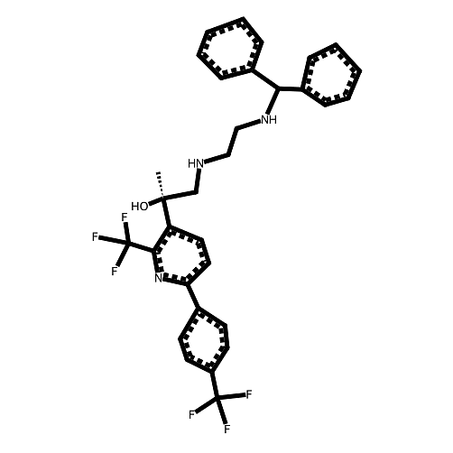 C[C@](O)(CNCCNC(c1ccccc1)c1ccccc1)c1ccc(-c2ccc(C(F)(F)F)cc2)nc1C(F)(F)F